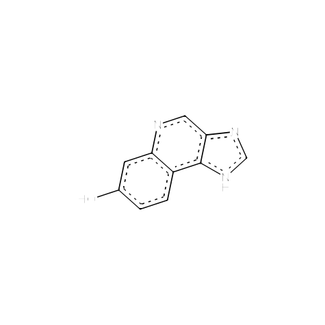 Oc1ccc2c(c1)ncc1nc[nH]c12